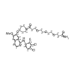 COc1cc2ncnc(Nc3ccc(Cl)c(Cl)c3F)c2cc1OC1CCN(C(=O)CCOCCOCCOCCC(N)=O)CC1